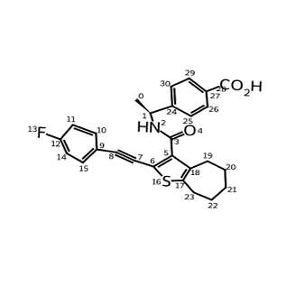 C[C@H](NC(=O)c1c(C#Cc2ccc(F)cc2)sc2c1CCCCC2)c1ccc(C(=O)O)cc1